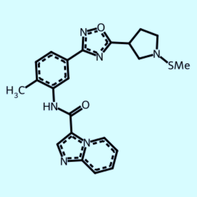 CSN1CCC(c2nc(-c3ccc(C)c(NC(=O)c4cnc5ccccn45)c3)no2)C1